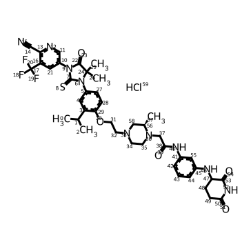 CC(C)c1cc(N2C(=S)N(c3cnc(C#N)c(C(F)(F)F)c3)C(=O)C2(C)C)ccc1OCCN1CCN(CC(=O)Nc2cccc(NC3CCC(=O)NC3=O)c2)[C@H](C)C1.Cl